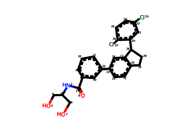 O=C(NC(CO)CO)c1cccc(-c2ccc3c(c2)C(c2cc(Cl)ccc2Cl)CC3)c1